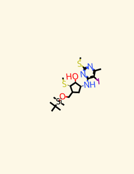 CSc1nc(C)c(I)c(N[C@@H]2CC(CO[Si](C)(C)C(C)(C)C)[C@H](SC)[C@H]2O)n1